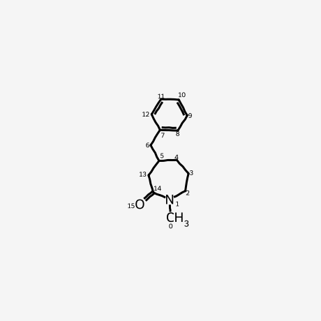 CN1CCCC(Cc2ccccc2)CC1=O